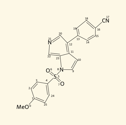 COc1ccc(S(=O)(=O)n2ccc3c(-c4ccc(C#N)cc4)cncc32)cc1